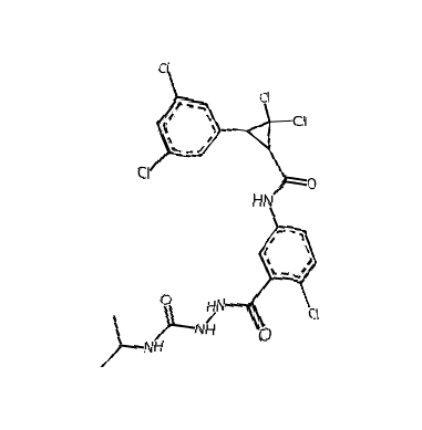 CC(C)NC(=O)NNC(=O)c1cc(NC(=O)C2C(c3cc(Cl)cc(Cl)c3)C2(Cl)Cl)ccc1Cl